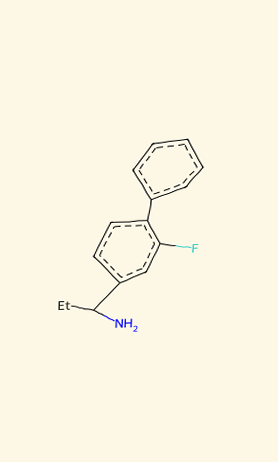 CCC(N)c1ccc(-c2ccccc2)c(F)c1